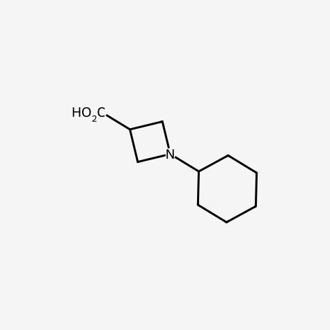 O=C(O)C1CN(C2CCCCC2)C1